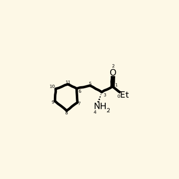 CCC(=O)[C@H](N)CC1CCCCC1